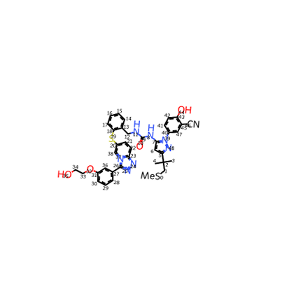 CSCC(C)(C)c1cc(NC(=O)NCc2ccccc2Sc2ccc3nnc(-c4cccc(OCCO)c4)n3c2)n(-c2ccc(O)c(C#N)c2)n1